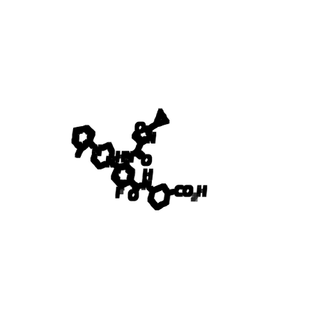 Cc1ccccc1N1CCN(c2cc(F)c(C(=O)NC3CCCC(C(=O)O)C3)cc2NC(=O)c2coc(C3CC3)n2)CC1